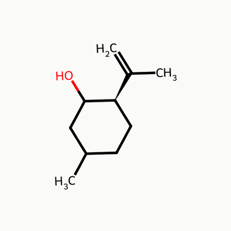 C=C(C)[C@H]1CCC(C)CC1O